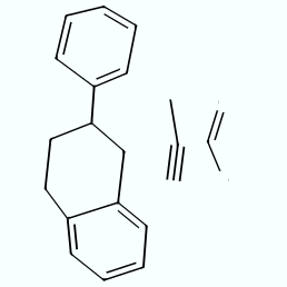 C#CC.O=CO.c1ccc(C2CCc3ccccc3C2)cc1